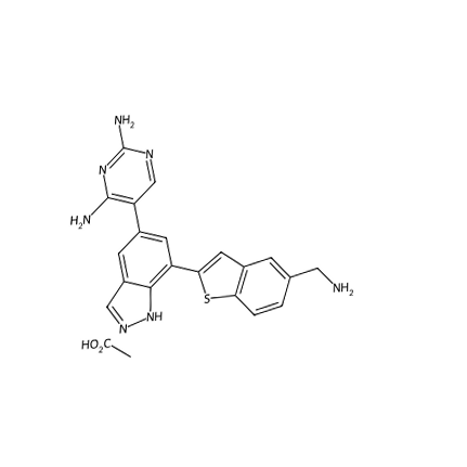 CC(=O)O.NCc1ccc2sc(-c3cc(-c4cnc(N)nc4N)cc4cn[nH]c34)cc2c1